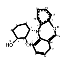 O[C@H]1[C@@H](O)CCC[C@@H]1N1C2=CC=CCC2=COc2ccccc21